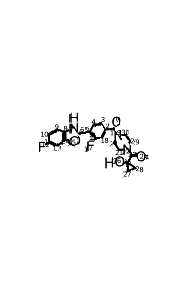 O=C(c1ccc(C2Nc3ccc(F)cc3O2)c(F)c1)N1CCN(C(=O)C2(O)CC2)CC1